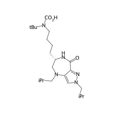 CC(C)CN1C[C@H](CCCCN(C(=O)O)C(C)(C)C)NC(=O)c2nn(CC(C)C)cc21